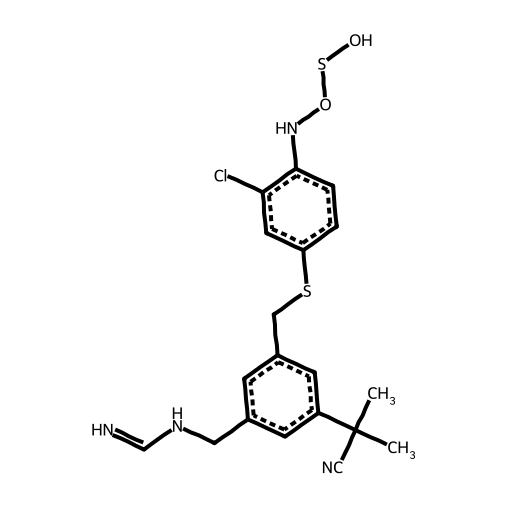 CC(C)(C#N)c1cc(CNC=N)cc(CSc2ccc(NOSO)c(Cl)c2)c1